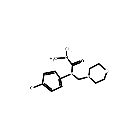 CN(C)C(=O)N(CN1CCOCC1)c1ccc(Cl)cc1